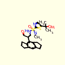 CN=S(=O)(NCC(C=O)c1c2c(cc3c1CCC3)CCC2)c1ncc(C(C)(C)O)s1